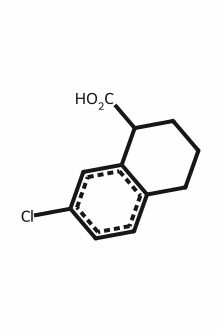 O=C(O)C1CCCc2ccc(Cl)cc21